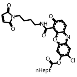 CCCCCCCC(=O)Oc1cc2oc3c(C(=O)NCCCCN4C(=O)C=CC4=O)c(=O)ccc-3nc2cc1Cl